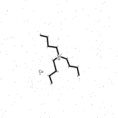 CCC[CH2][SnH]([CH2]CCC)[CH2]CCC.[Cu]